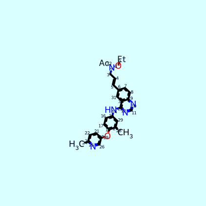 CCON(CC=Cc1ccc2ncnc(Nc3ccc(Oc4ccc(C)nc4)c(C)c3)c2c1)C(C)=O